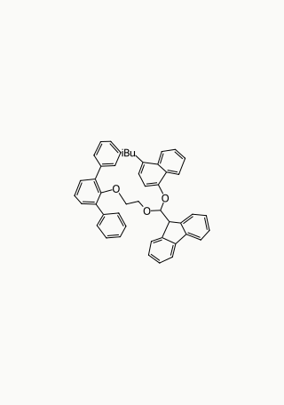 CCC(C)c1ccc(OC(OCCOc2c(-c3ccccc3)cccc2-c2ccccc2)C2c3ccccc3-c3ccccc32)c2ccccc12